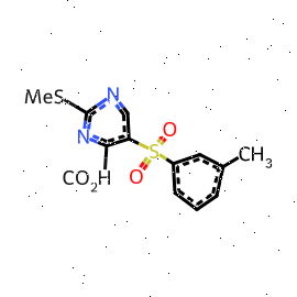 CSc1ncc(S(=O)(=O)c2cccc(C)c2)c(C(=O)O)n1